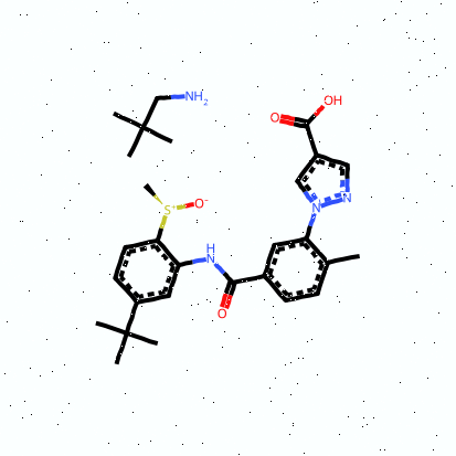 CC(C)(C)CN.Cc1ccc(C(=O)Nc2cc(C(C)(C)C)ccc2[S@@+](C)[O-])cc1-n1cc(C(=O)O)cn1